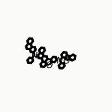 c1ccc(N(c2ccc3c(ccc4ccccc43)c2)c2cc3c4cccc5c4c(cc3c3ccccc23)-c2ccc(N(c3ccccc3)c3cccc4c3oc3ccccc34)cc2O5)cc1